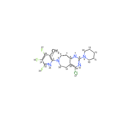 Cc1c(N2CCc3nc(N4CCCCC4)nc(Cl)c3CC2)nc(F)c(F)c1F